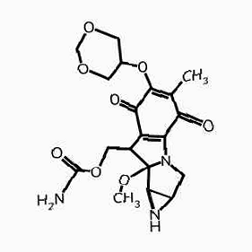 COC12C(COC(N)=O)C3=C(C(=O)C(C)=C(OC4COCOC4)C3=O)N1CC1NC12